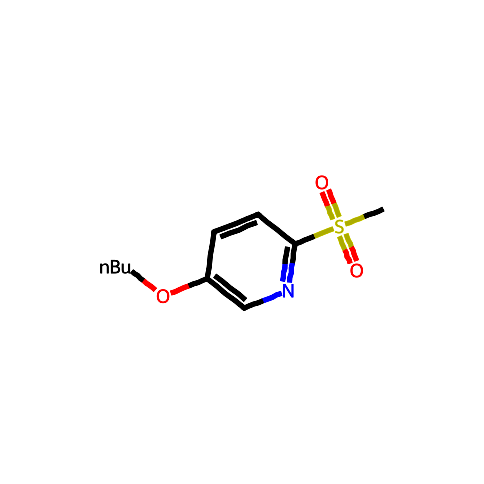 CCCCOc1ccc(S(C)(=O)=O)nc1